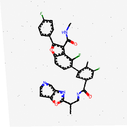 CNC(=O)c1c(-c2ccc(F)cc2)oc2ccc(-c3cc(C(=O)/N=C/C(C)c4nc5cnccc5o4)cc(F)c3C)c(F)c12